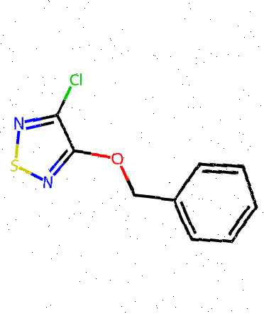 Clc1nsnc1OCc1ccccc1